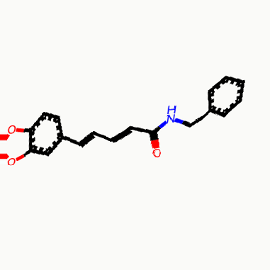 O=C(/C=C/C=C/c1ccc2c(c1)OCO2)NCc1ccccc1